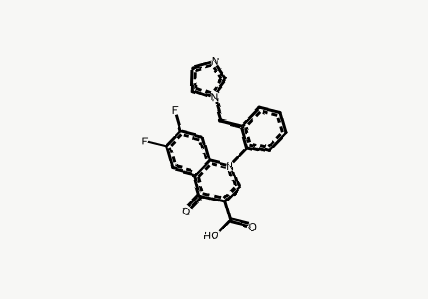 O=C(O)c1cn(-c2ccccc2Cn2ccnc2)c2cc(F)c(F)cc2c1=O